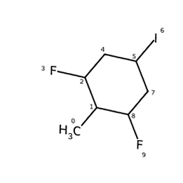 CC1C(F)CC(I)CC1F